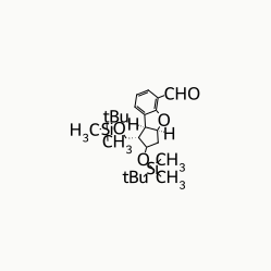 CC(C)(C)[Si](C)(C)OC[C@H]1C(O[Si](C)(C)C(C)(C)C)C[C@@H]2Oc3c(C=O)cccc3[C@@H]21